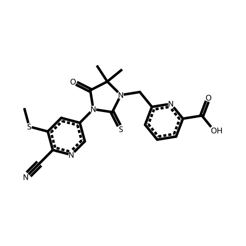 CSc1cc(N2C(=O)C(C)(C)N(Cc3cccc(C(=O)O)n3)C2=S)cnc1C#N